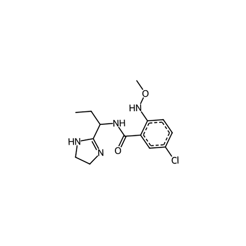 CCC(NC(=O)c1cc(Cl)ccc1NOC)C1=NCCN1